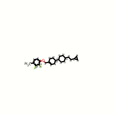 Cc1ccc(OCC2=CCC(C3CCC(CCC4CC4)CC3)CC2)c(F)c1F